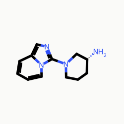 N[C@@H]1CCCN(c2ncc3ccccn23)C1